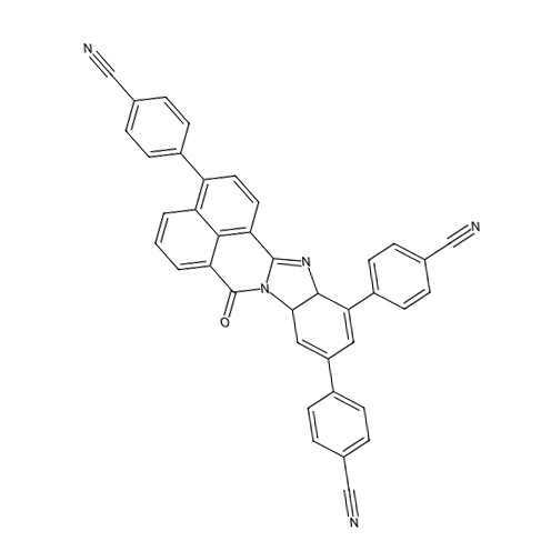 N#Cc1ccc(C2=CC3C(N=c4c5ccc(-c6ccc(C#N)cc6)c6cccc(c(=O)n43)c65)C(c3ccc(C#N)cc3)=C2)cc1